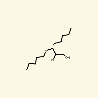 CCCCCS[C@H](CCCCC)C(O)CO